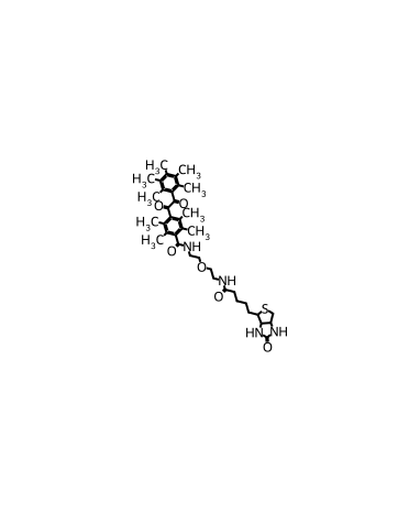 Cc1c(C)c(C)c(C(=O)C(=O)c2c(C)c(C)c(C(=O)NCCOCCNC(=O)CCCCC3SCC4NC(=O)NC43)c(C)c2C)c(C)c1C